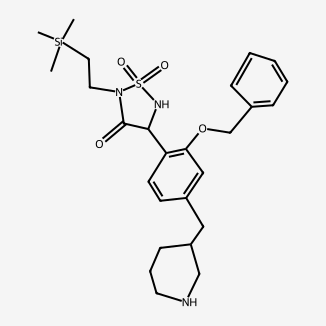 C[Si](C)(C)CCN1C(=O)C(c2ccc(CC3CCCNC3)cc2OCc2ccccc2)NS1(=O)=O